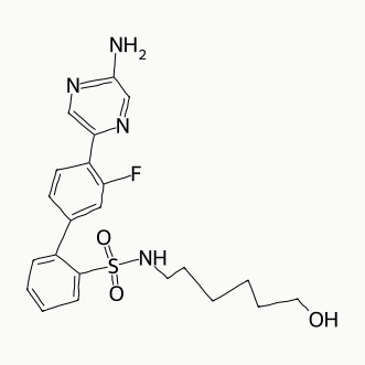 Nc1cnc(-c2ccc(-c3ccccc3S(=O)(=O)NCCCCCCO)cc2F)cn1